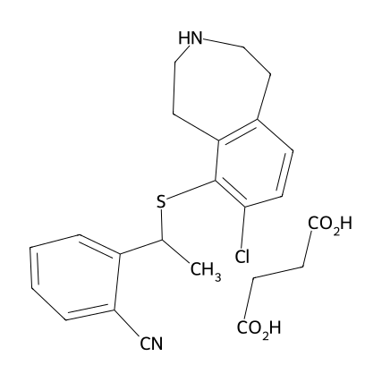 CC(Sc1c(Cl)ccc2c1CCNCC2)c1ccccc1C#N.O=C(O)CCC(=O)O